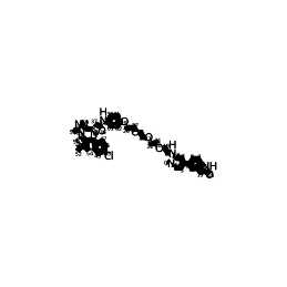 C=N/C(=C\C(=C/C)c1ccc2c(c1)CC(=O)N2)NCCOCCOCCOCCOc1ccc(NC(=O)C[C@@H]2N=C(c3ccc(Cl)cc3)c3c(sc(C)c3C)-n3c(C)nnc32)cc1